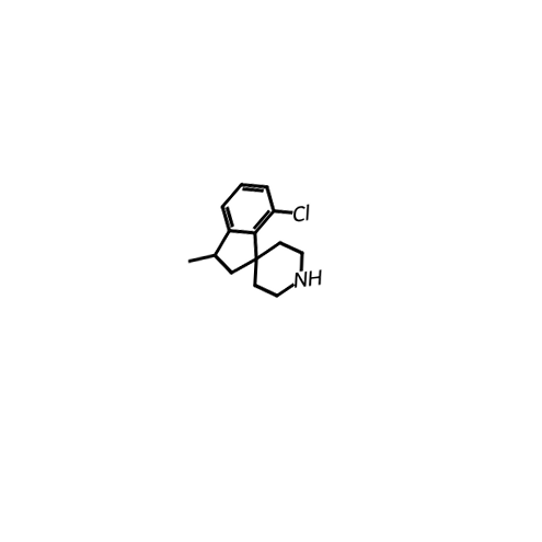 CC1CC2(CCNCC2)c2c(Cl)cccc21